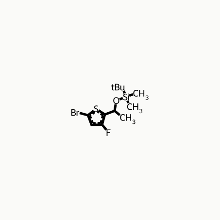 CC(O[Si](C)(C)C(C)(C)C)c1sc(Br)cc1F